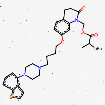 CCCCC(C)C(=O)OCN1C(=O)CCc2ccc(OCCCCN3CCN(c4cccc5sccc45)CC3)cc21